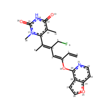 C=C/C(=C\C(CF)=C(/C)c1c(C)c(=O)[nH]c(=O)n1C)Oc1nccc2occc12